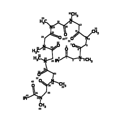 CC(C)C(=O)CN(C)C(=O)CN(C)C(=O)CN(C)C(=O)CN(C)C(=O)CN(C)C(=O)CN(C)C(=O)CN(C)C(=O)CN(C)C(=O)C(C)C